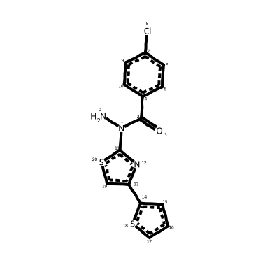 NN(C(=O)c1ccc(Cl)cc1)c1nc(-c2cccs2)cs1